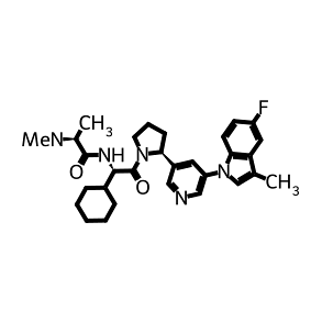 CN[C@@H](C)C(=O)N[C@H](C(=O)N1CCC[C@H]1c1cncc(-n2cc(C)c3cc(F)ccc32)c1)C1CCCCC1